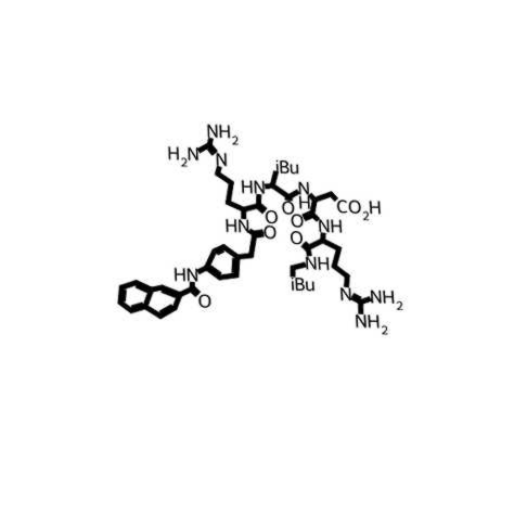 CCC(C)CNC(=O)C(CCCN=C(N)N)NC(=O)C(CC(=O)O)NC(=O)C(NC(=O)C(CCCN=C(N)N)NC(=O)Cc1ccc(NC(=O)c2ccc3ccccc3c2)cc1)C(C)CC